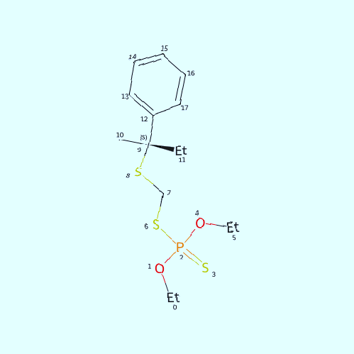 CCOP(=S)(OCC)SCS[C@@](C)(CC)c1ccccc1